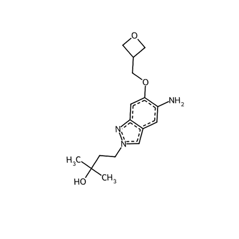 CC(C)(O)CCn1cc2cc(N)c(OCC3COC3)cc2n1